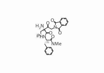 CNC(=O)[C@H](Cc1ccccc1)NC(=O)[C@@](N)(CC(C)C)C(=O)CN1C(=O)c2ccccc2C1=O